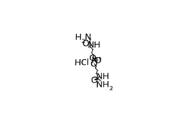 Cl.NCC(=O)NCCCCO[N+](=O)OCCCCNC(=O)CN